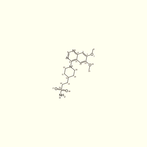 COc1cc2ncnc(N3CCC(CCS(N)(=O)=O)CC3)c2cc1OC